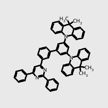 CC1(C)c2ccccc2N(c2cc(-c3cccc(-c4cc(-c5ccccc5)nc(-c5ccccc5)n4)c3)cc(N3c4ccccc4C(C)(C)c4ccccc43)c2)c2ccccc21